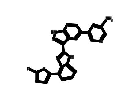 Nc1cncc(-c2cnc3[nH]nc(-c4nc5c(-c6ccc(F)s6)cccc5[nH]4)c3c2)c1